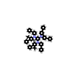 CC(C)(C)c1cc2c(cc1-c1ccccc1)B1c3cc(-c4ccccc4)c(C(C)(C)C)cc3N(c3cccc(-c4ccccc4)c3)c3cc(-n4c5ccc(-c6ccccc6)cc5c5cc(-c6ccccc6)ccc54)cc(c31)N2c1cccc(-c2ccccc2)c1